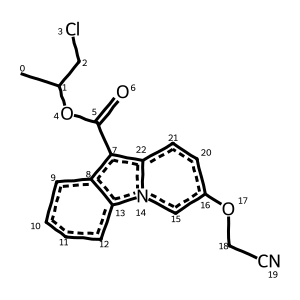 CC(CCl)OC(=O)c1c2ccccc2n2cc(OCC#N)ccc12